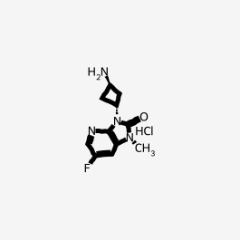 Cl.Cn1c(=O)n([C@H]2C[C@H](N)C2)c2ncc(F)cc21